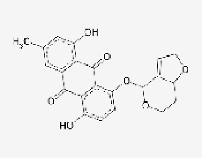 Cc1cc(O)c2c(c1)C(=O)c1c(O)ccc(OC3OCCC4OCC=C43)c1C2=O